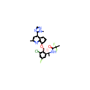 B[C@@](C)(NC(=O)C(C)(F)F)c1cc(F)cc(Cl)c1COc1cccc2c(-c3ncnn3C)cc(C)nc12